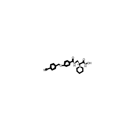 N#Cc1ccc(COc2ccc(C(=O)NC[C@@H](C(=O)NO)N3CCCCC3)cc2)cc1